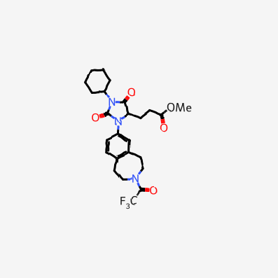 COC(=O)CCC1C(=O)N(C2CCCCC2)C(=O)N1c1ccc2c(c1)CCN(C(=O)C(F)(F)F)CC2